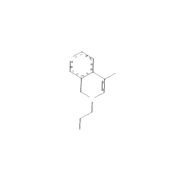 OCCN1C=C(I)c2ccncc2C1